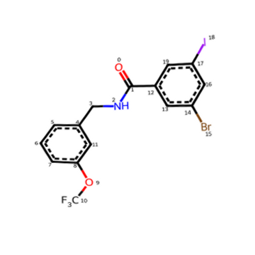 O=C(NCc1cccc(OC(F)(F)F)c1)c1cc(Br)cc(I)c1